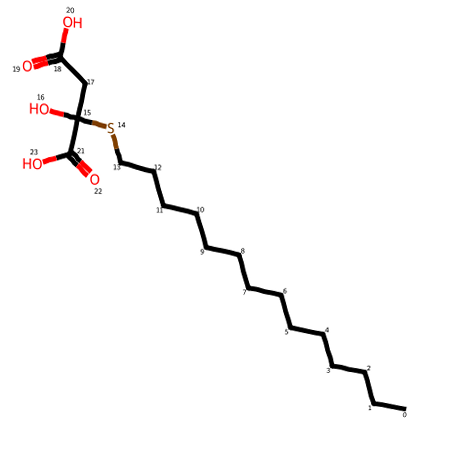 CCCCCCCCCCCCCCSC(O)(CC(=O)O)C(=O)O